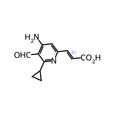 Nc1cc(/C=C/C(=O)O)nc(C2CC2)c1C=O